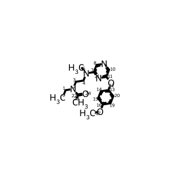 CCN(CCN(C)c1cncc(Oc2ccc(OC)cc2)n1)C(C)=O